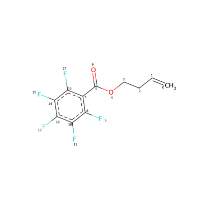 C=CCCOC(=O)c1c(F)c(F)c(F)c(F)c1F